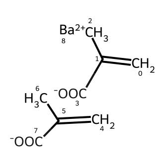 C=C(C)C(=O)[O-].C=C(C)C(=O)[O-].[Ba+2]